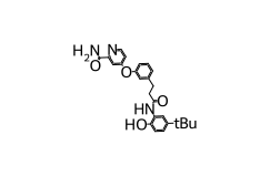 CC(C)(C)c1ccc(O)c(NC(=O)CCc2cccc(Oc3ccnc(C(N)=O)c3)c2)c1